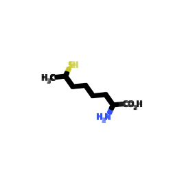 CC(S)CCCCC(N)C(=O)O